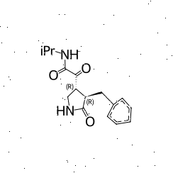 CC(C)NC(=O)C(=O)[C@H]1CNC(=O)[C@@H]1Cc1ccccc1